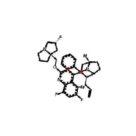 C=CC[C@@H]1C2CC[C@@H](CN1c1nc(OC[C@@]34CCCN3C[C@H](F)C4)nc3c(F)cc(F)c(Br)c13)N2Cc1ccccc1